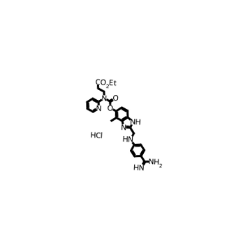 CCOC(=O)CCN(C(=O)Oc1ccc2[nH]c(CNc3ccc(C(=N)N)cc3)nc2c1C)c1ccccn1.Cl